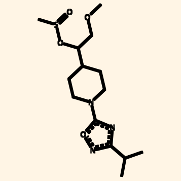 COCC(OS(C)=O)C1CCN(c2nc(C(C)C)no2)CC1